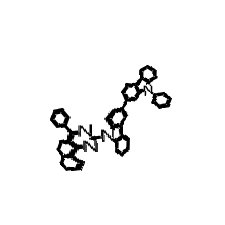 c1ccc(-c2nc(-n3c4ccccc4c4cc(-c5ccc6c7ccccc7n(-c7ccccc7)c6c5)ccc43)nc3c2ccc2ccccc23)cc1